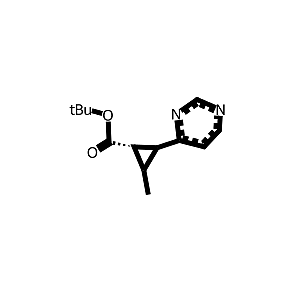 CC1C(c2ccncn2)[C@H]1C(=O)OC(C)(C)C